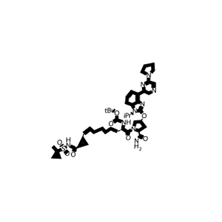 CC(C)N1C(O[C@@H]2C[C@@H](C(N)=O)N(C(=O)[C@H](CCCCC/C=C\[C@@H]3C[C@@H]3C(=O)NS(=O)(=O)C3(C)CC3)NC(=O)OC(C)(C)C)C2)=NC2=C(C3CN=CC(N4CCCC4)=N3)C=CCC21